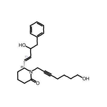 O=C1CCC[C@H](/C=C/C(O)Cc2ccccc2)N1CC#CCCCCO